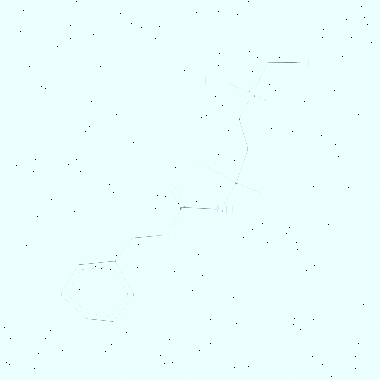 CC(C)(CC[N+](C)(C)CC(F)(F)F)NC(=O)OCc1ccccc1.[I-]